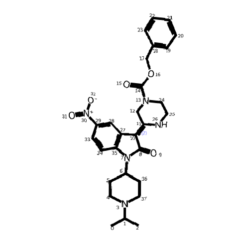 CC(C)N1CCC(N2C(=O)/C(=C3/CN(C(=O)OCc4ccccc4)CCN3)c3cc([N+](=O)[O-])ccc32)CC1